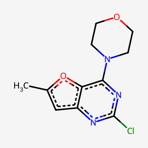 Cc1cc2nc(Cl)nc(N3CCOCC3)c2o1